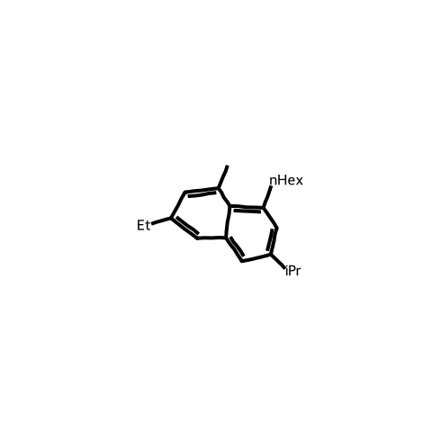 CCCCCCc1cc(C(C)C)cc2cc(CC)cc(C)c12